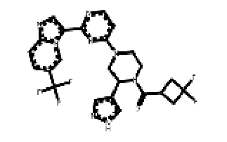 O=C(C1CC(F)(F)C1)N1CCN(c2ccnc(-c3cnc4ccc(C(F)(F)F)cn34)n2)CC1c1cn[nH]c1